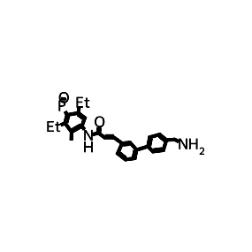 CCc1cc(NC(=O)/C=C/c2cccc(-c3ccc(CN)cc3)c2)c(C)c(CC)c1P=O